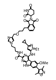 CCn1nc(C2CC2)cc1Nc1nc(C(=O)NCCCn2cnc(COCCCc3cccc4c3C(=O)N(C3CCC(=O)NC3=O)C4=O)c2)nc2[nH]c3cc(-c4c(C)noc4C)c(OC)cc3c12